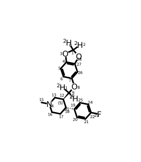 [2H]C1([2H])Oc2ccc(OC([2H])([2H])[C@@H]3CN(C)CC[C@H]3c3ccc(F)cc3)cc2O1